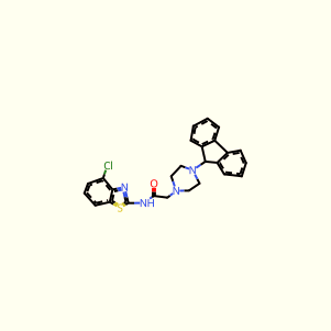 O=C(CN1CCN(C2c3ccccc3-c3ccccc32)CC1)Nc1nc2c(Cl)cccc2s1